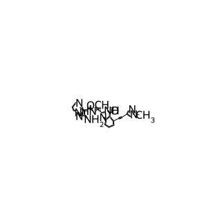 C[C@@H](NC(=O)c1c(N)nn2cccnc12)c1nc2cccc(C#Cc3cnn(C)c3)c2c(=O)[nH]1